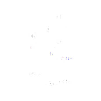 CCC1(C2CCNC2)C(c2ccc(Cl)c(Cl)c2)C(C(=O)N=O)(c2ccccc2)CCN1C(=O)c1cc(OC)c(OC)c(OC)c1